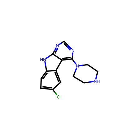 Clc1ccc2[nH]c3ncnc(N4CCNCC4)c3c2c1